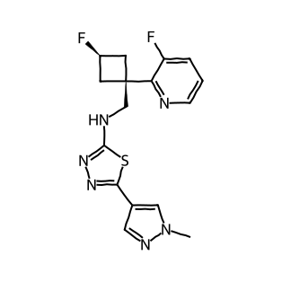 Cn1cc(-c2nnc(NC[C@]3(c4ncccc4F)C[C@H](F)C3)s2)cn1